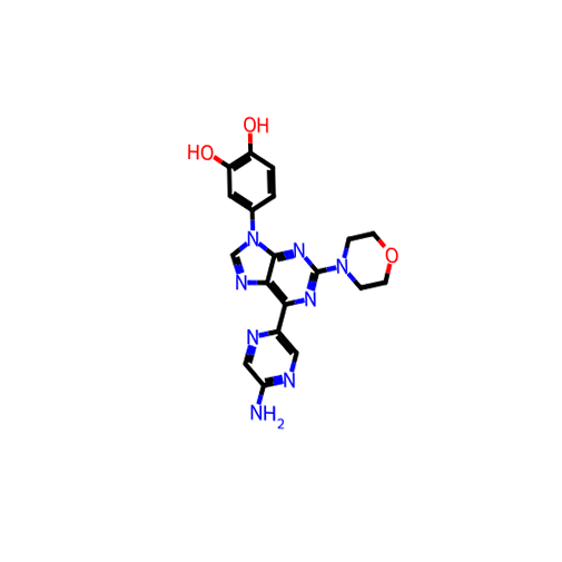 Nc1cnc(-c2nc(N3CCOCC3)nc3c2ncn3-c2ccc(O)c(O)c2)cn1